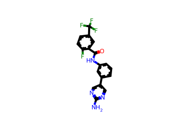 Nc1ncc(-c2cccc(NC(=O)c3cc(C(F)(F)F)ccc3F)c2)cn1